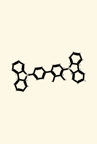 Cc1c(-c2ccc(-n3c4ccccc4c4ccccc43)cc2)ccc(-n2c3ccccc3c3ccccc32)c1C